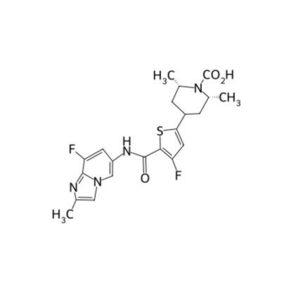 Cc1cn2cc(NC(=O)c3sc(C4C[C@@H](C)N(C(=O)O)[C@@H](C)C4)cc3F)cc(F)c2n1